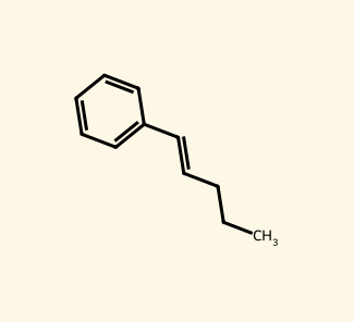 CCCC=Cc1ccccc1